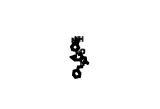 Cc1cc(C(=O)N(C2CC2)C2CCc3n[nH]cc3C2)c(C)n1CCC1CCCCC1